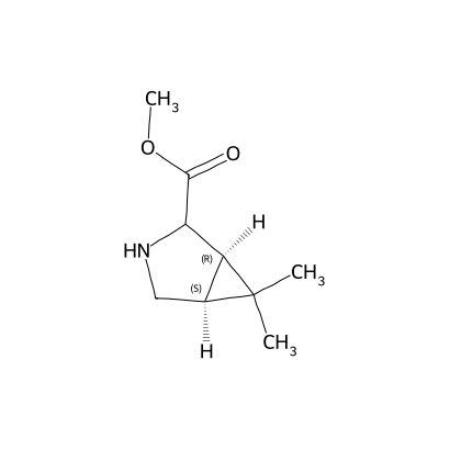 COC(=O)C1NC[C@H]2[C@@H]1C2(C)C